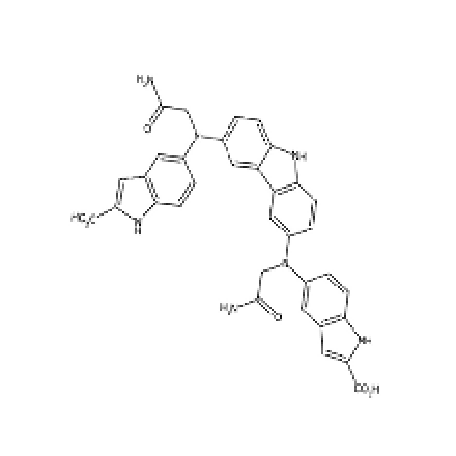 NC(=O)CN(c1ccc2[nH]c(C(=O)O)cc2c1)c1ccc2[nH]c3ccc(N(CC(N)=O)c4ccc5[nH]c(C(=O)O)cc5c4)cc3c2c1